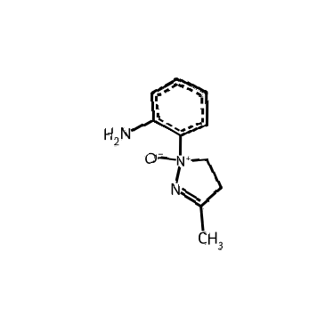 CC1=N[N+]([O-])(c2ccccc2N)CC1